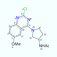 COc1ccc2nc(Cl)nc(N3CCC(NC(C)=O)C3)c2c1